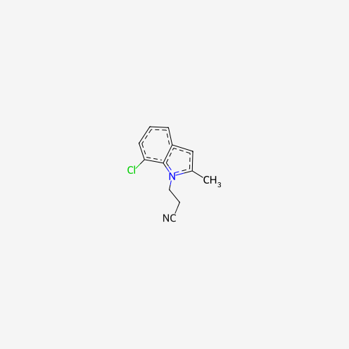 Cc1cc2cccc(Cl)c2n1CCC#N